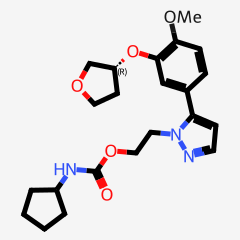 COc1ccc(-c2ccnn2CCOC(=O)NC2CCCC2)cc1O[C@@H]1CCOC1